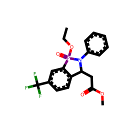 CCOP1(=O)c2cc(C(F)(F)F)ccc2C(CC(=O)OC)N1c1ccccc1